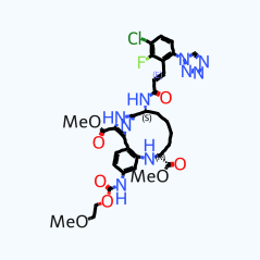 COCCOC(=O)Nc1ccc2c(c1)N[C@@H](C(=O)OC)CCCC[C@H](NC(=O)/C=C/c1c(-n3cnnn3)ccc(Cl)c1F)c1nc-2c(C(=O)OC)[nH]1